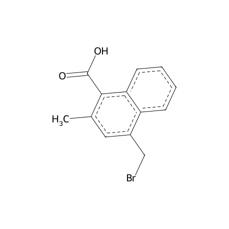 Cc1cc(CBr)c2ccccc2c1C(=O)O